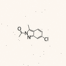 CC(=O)n1nc2cc(Cl)ccc2c1C